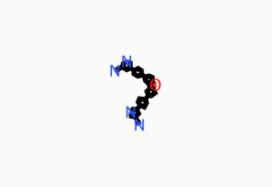 N#Cc1cncc(-c2ccc(-c3ccc4oc5ccc(-c6ccc(-c7cncc(C#N)c7)cc6)cc5c4c3)cc2)c1